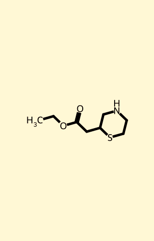 CCOC(=O)CC1CNCCS1